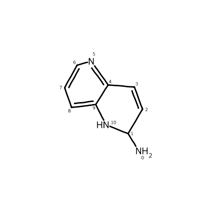 NC1C=Cc2ncccc2N1